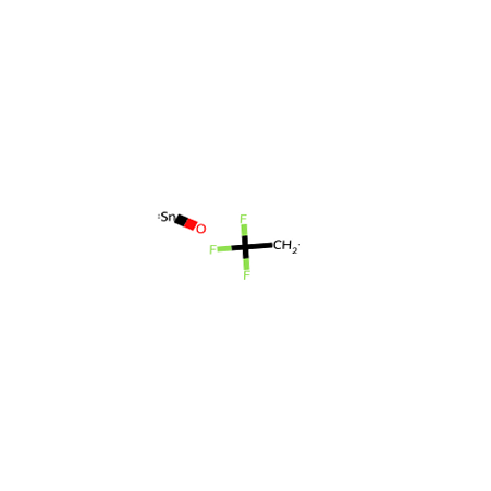 [CH2]C(F)(F)F.[O]=[Sn]